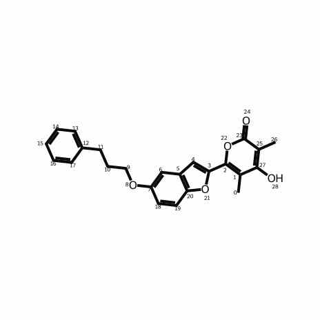 Cc1c(-c2cc3cc(OCCCc4ccccc4)ccc3o2)oc(=O)c(C)c1O